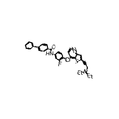 CCN(CC)CC#Cc1cc2nccc(Oc3ccc(NC(=O)c4ccc(-c5ccccc5)cc4)cc3F)c2s1